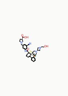 CC1C(c2ccccc2Cl)=CC=CC1(SC1CCCN(C2CN(CCO)C2)C1)c1nc2cc(CN3CC[C@@H](C(=O)O)C3)cc(C#N)c2o1